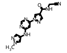 Cn1cc(Nc2cc(-n3cc(C(=O)NCC#N)cn3)ncn2)cn1